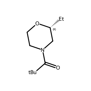 CC[C@@H]1CN(C(=O)C(C)(C)C)CCO1